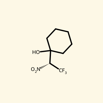 O=[N+]([O-])[C@@H](C(F)(F)F)C1(O)CCCCC1